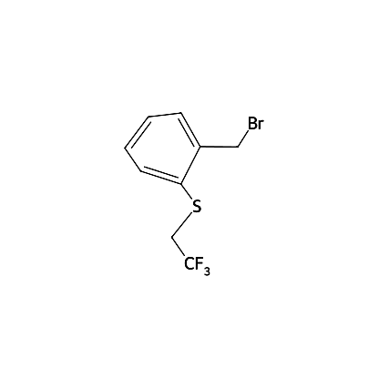 FC(F)(F)CSc1ccccc1CBr